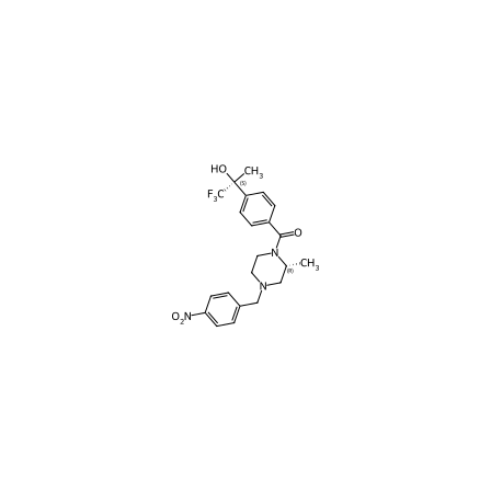 C[C@@H]1CN(Cc2ccc([N+](=O)[O-])cc2)CCN1C(=O)c1ccc([C@](C)(O)C(F)(F)F)cc1